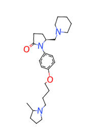 CC1CCCN1CCCCOc1ccc(N2C(=O)CC[C@H]2CN2CCCCC2)cc1